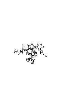 CCC(C)N1CCc2c(NN)nc3c([N+](=O)[O-])cnn3c21